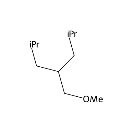 COCC(CC(C)C)CC(C)C